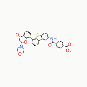 COC(=O)c1ccc(C(=O)Nc2ccc3sc4c(-c5cccc6c(=O)cc(N7CCOCC7)oc56)cccc4c3c2)cc1